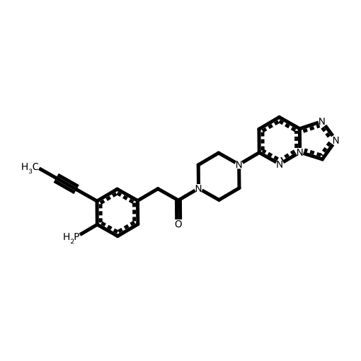 CC#Cc1cc(CC(=O)N2CCN(c3ccc4nncn4n3)CC2)ccc1P